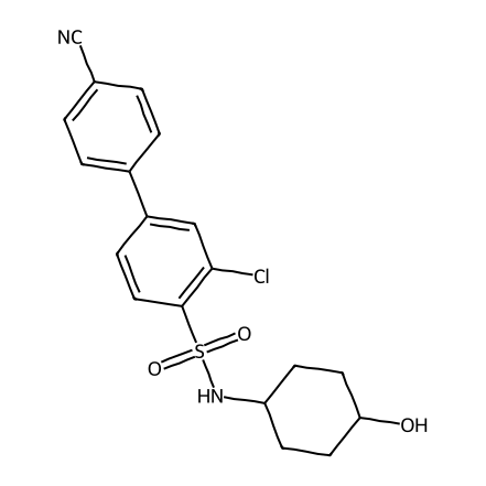 N#Cc1ccc(-c2ccc(S(=O)(=O)NC3CCC(O)CC3)c(Cl)c2)cc1